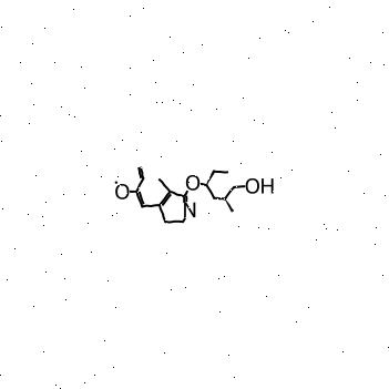 C=C/C(=C\C1=C(C)C(O[C@@H](CC)C[C@H](C)CO)=NCC1)OC